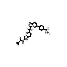 NC(=O)c1ccc(-c2ccc3nnc(C(F)(F)c4ccc5nc(NC(=O)C6CC6)cn5n4)n3c2)cc1